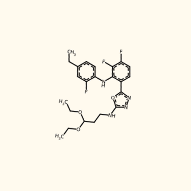 CCOC(CCNc1nnc(-c2ccc(F)c(F)c2Nc2ccc(CC)cc2F)o1)OCC